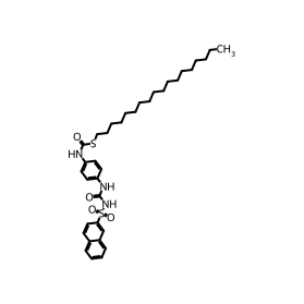 CCCCCCCCCCCCCCCCCCSC(=O)Nc1ccc(NC(=O)NS(=O)(=O)c2ccc3ccccc3c2)cc1